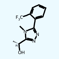 C[C@@H](O)c1nnc(-c2ccccc2C(F)(F)F)n1C